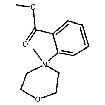 COC(=O)c1ccccc1[N+]1(C)CCOCC1